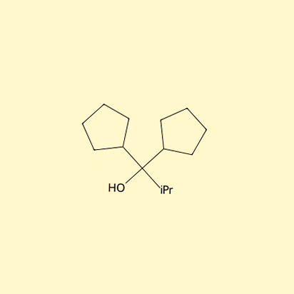 CC(C)C(O)(C1CCCC1)C1CCCC1